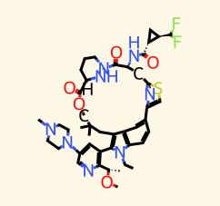 CCn1c(-c2cc(N3CCN(C)CC3)cnc2[C@H](C)OC)c2c3cc(ccc31)-c1csc(n1)C[C@H](NC(=O)[C@@H]1C[C@H]1C(F)F)C(=O)N1CCC[C@H](N1)C(=O)OCC(C)(C)C2